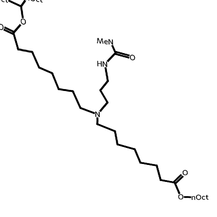 CCCCCCCCOC(=O)CCCCCCCN(CCCCCCCC(=O)OC(CCCCCCCC)CCCCCCCC)CCCNC(=O)NC